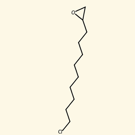 ClCCCCCCCCCC1CO1